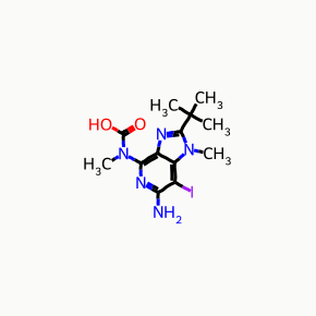 CN(C(=O)O)c1nc(N)c(I)c2c1nc(C(C)(C)C)n2C